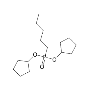 CCCCCP(=O)(OC1CCCC1)OC1CCCC1